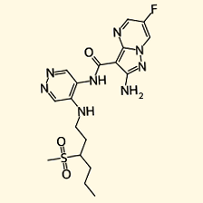 CCCC(CCNc1cnncc1NC(=O)c1c(N)nn2cc(F)cnc12)S(C)(=O)=O